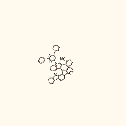 N#Cc1ccccc1-c1cc(-c2nc(-c3ccccc3)nc(-c3ccccc3)n2)ccc1-n1c2ccccc2c2ccc3c4ccccc4n(-c4ccccc4)c3c21